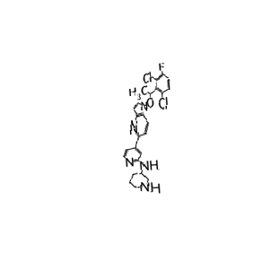 CC(On1ccc2nc(-c3ccnc(NC4CCCNC4)c3)ccc21)c1c(Cl)ccc(F)c1Cl